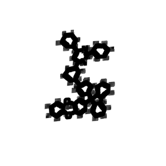 c1ccc(-c2cc(-c3cccc(-c4ccc(C5(c6ccc7c(c6)Oc6ccccc6O7)c6ccccc6-c6ccccc65)cc4)c3)nc(-c3ccccc3)n2)cc1